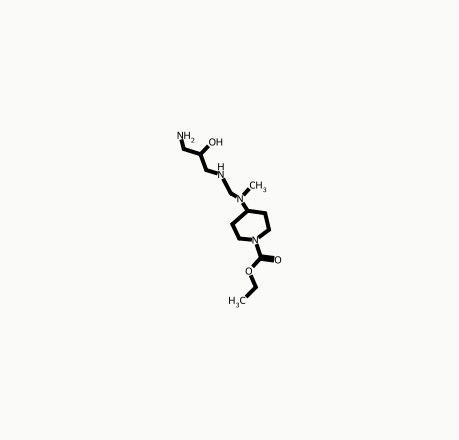 CCOC(=O)N1CCC(N(C)[CH]NCC(O)CN)CC1